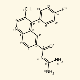 Cc1cnc2ccc(C(=O)N=C(N)N)cc2c1-c1ccc(F)cc1